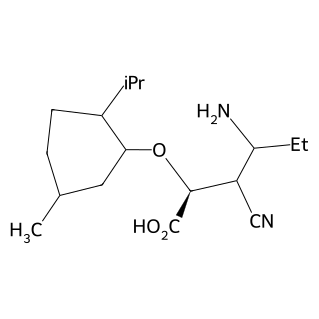 CCC(N)C(C#N)[C@H](OC1CC(C)CCC1C(C)C)C(=O)O